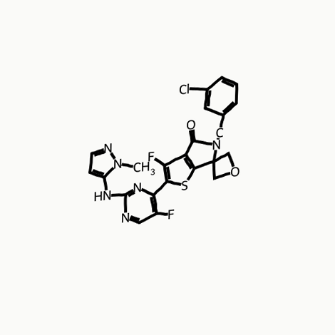 Cn1nccc1Nc1ncc(F)c(-c2sc3c(c2F)C(=O)N(Cc2cccc(Cl)c2)C32COC2)n1